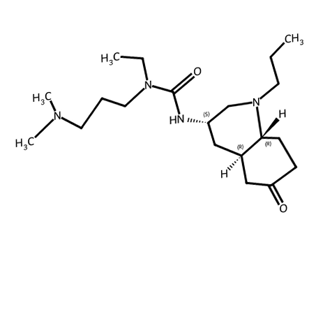 CCCN1C[C@@H](NC(=O)N(CC)CCCN(C)C)C[C@@H]2CC(=O)CC[C@H]21